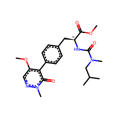 COC(=O)[C@H](Cc1ccc(-c2c(OC)cnn(C)c2=O)cc1)NC(=O)N(C)CC(C)C